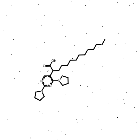 CCCCCCCCCCCCC(C(=O)O)c1cnc(N2CCCC2)nc1N1CCCC1